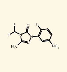 Cc1nn(-c2cc([N+](=O)[O-])ccc2F)c(=O)n1C(F)F